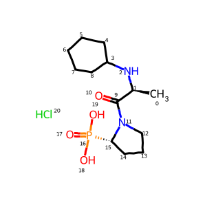 C[C@H](NC1CCCCC1)C(=O)N1CCC[C@@H]1P(=O)(O)O.Cl